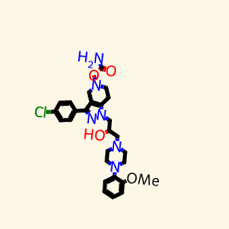 COc1ccccc1N1CCN(CC(O)Cn2nc(-c3ccc(Cl)cc3)c3c2CCN(OC(N)=O)C3)CC1